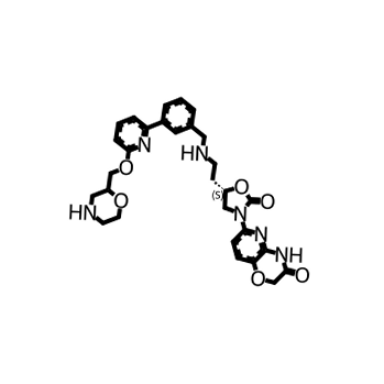 O=C1COc2ccc(N3C[C@H](CCNCc4cccc(-c5cccc(OCC6CNCCO6)n5)c4)OC3=O)nc2N1